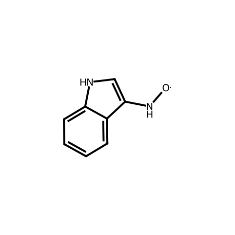 [O]Nc1c[nH]c2ccccc12